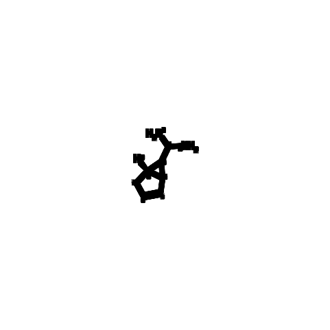 NC(N)C1C2C=CC[C@@H]21